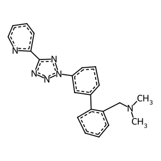 CN(C)Cc1ccccc1-c1cccc(-n2nnc(-c3ccccn3)n2)c1